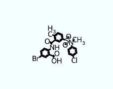 Cc1ccc(S(=O)(=O)N(C)c2ccc(Cl)cc2)cc1C(=O)Nc1ccc(Br)cc1C(=O)O